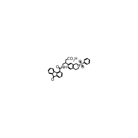 O=C(O)CC(CNC(=O)c1cccc2c1-c1ccccc1C2=O)c1ccc2c(c1)CN(S(=O)(=O)c1ccccc1)CC2